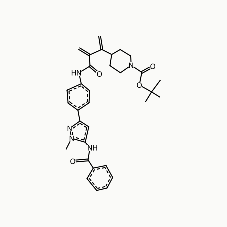 C=C(C(=C)C1CCN(C(=O)OC(C)(C)C)CC1)C(=O)Nc1ccc(-c2cc(NC(=O)c3ccccc3)n(C)n2)cc1